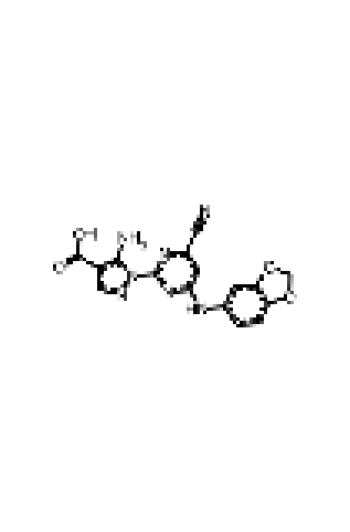 N#Cc1cc(Nc2ccc3c(c2)OCO3)nc(-n2ncc(C(=O)O)c2N)n1